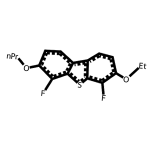 CCCOc1ccc2c(sc3c(F)c(OCC)ccc32)c1F